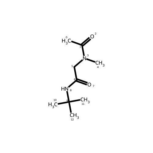 CC(=O)N(C)CC(=O)NC(C)(C)C